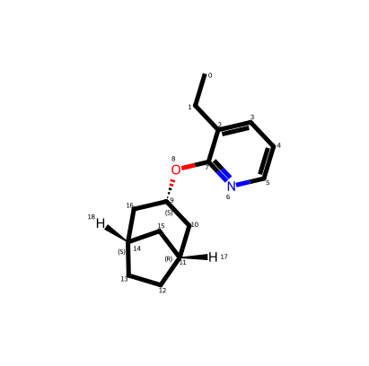 CCc1cccnc1O[C@@H]1C[C@@H]2CC[C@@H](C2)C1